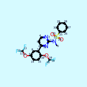 CN(c1nccc(-c2cc(OC(F)F)ccc2OC(F)F)n1)S(=O)(=O)c1ccccc1